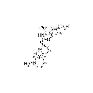 CCC1(c2cccc(OC(=O)NC(C(=O)NC(C(=O)O)C(C)C)C(C)C)c2)CCCCN(C)C1